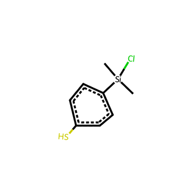 C[Si](C)(Cl)c1ccc(S)cc1